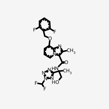 Cc1nc2c(OCc3c(F)cccc3F)cccn2c1C(=O)NC(C)(CO)c1nnn(C(F)F)n1